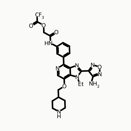 CCn1c(-c2nonc2N)nc2c(-c3cccc(NC(=O)COC(=O)C(F)(F)F)c3)ncc(OCC3CCNCC3)c21